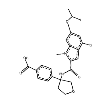 CC(I)Oc1cc(Cl)c2cc(C(=O)NC3(c4ccc(C(=O)O)cc4)CCOC3)n(C)c2c1